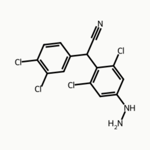 N#CC(c1ccc(Cl)c(Cl)c1)c1c(Cl)cc(NN)cc1Cl